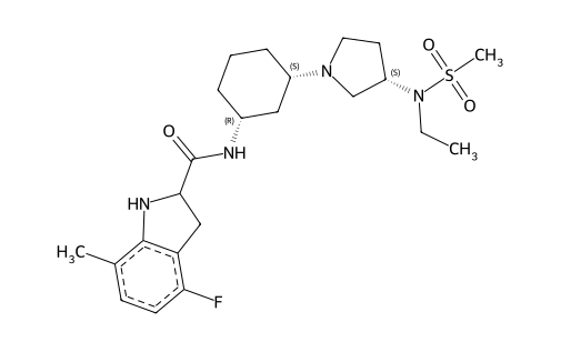 CCN([C@H]1CCN([C@H]2CCC[C@@H](NC(=O)C3Cc4c(F)ccc(C)c4N3)C2)C1)S(C)(=O)=O